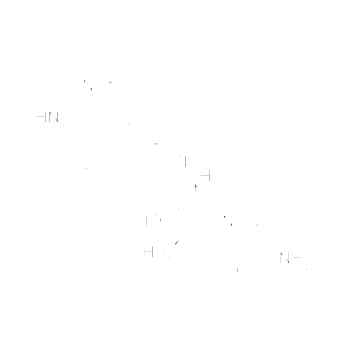 C[C@@H]1CN(CC(N)=O)C[C@H](C)C1(O)c1c(F)cc(-c2ccnc3[nH]cc(F)c23)cc1F